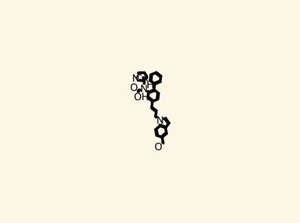 O=Cc1ccc2c(ccn2CC=Cc2ccc(-c3ccccc3)c(N(C(=O)O)[C@H]3CN4CCC3CC4)c2)c1